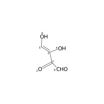 O=CC(=O)C(O)=CO